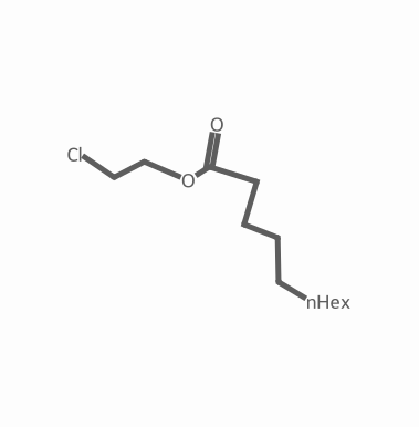 CCCCCCCCCCC(=O)OCCCl